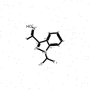 CC(=NO)c1nn(C(F)F)c2ccccc12